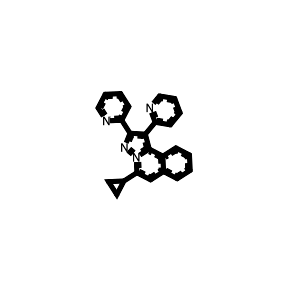 c1ccc(-c2nn3c(C4CC4)cc4ccccc4c3c2-c2ccccn2)nc1